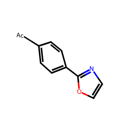 CC(=O)c1ccc(-c2ncco2)cc1